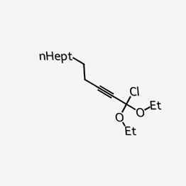 CCCCCCCCCC#CC(Cl)(OCC)OCC